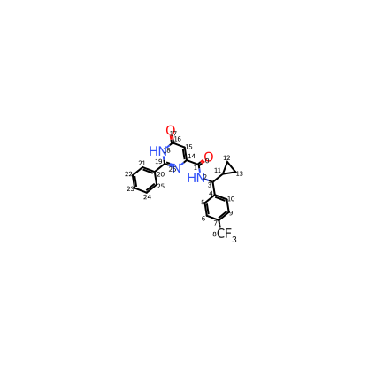 O=C(NC(c1ccc(C(F)(F)F)cc1)C1CC1)c1cc(=O)[nH]c(-c2ccccc2)n1